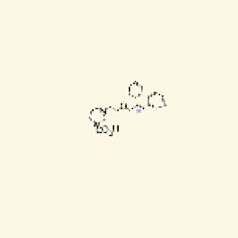 O=C(O)[C@@H]1CCCN(CCOC/C(=C/c2ccccc2)c2ccccc2)C1